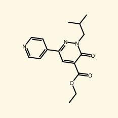 CCOC(=O)c1cc(-c2ccncc2)nn(CC(C)C)c1=O